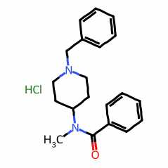 CN(C(=O)c1ccccc1)C1CCN(Cc2ccccc2)CC1.Cl